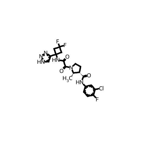 C[C@H]1[C@@H](C(=O)Nc2ccc(F)c(Cl)c2)CCN1C(=O)C(=O)NC1(c2c[nH]nn2)CC(F)(F)C1